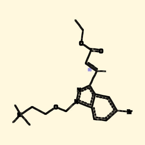 CCOC(=O)/C=C(\C)c1nn(COCC[Si](C)(C)C)c2ccc(Br)cc12